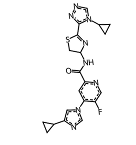 O=C(NC1CSC(c2nncn2C2CC2)=N1)c1cc(-n2cnc(C3CC3)c2)c(F)cn1